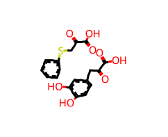 O=C(O)C(=O)CSc1ccccc1.O=C(O)C(=O)Cc1ccc(O)c(O)c1